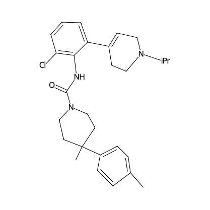 Cc1ccc(C2(C)CCN(C(=O)Nc3c(Cl)cccc3C3=CCN(C(C)C)CC3)CC2)cc1